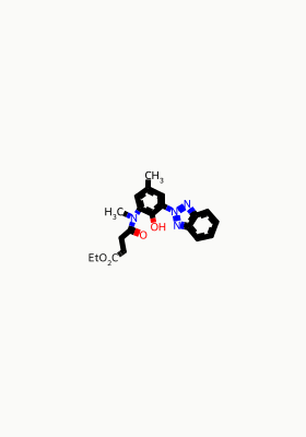 CCOC(=O)CCC(=O)N(C)c1cc(C)cc(-n2nc3ccccc3n2)c1O